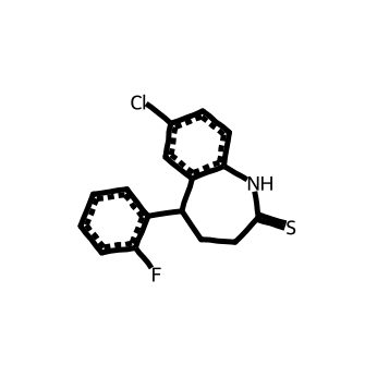 Fc1ccccc1C1CCC(=S)Nc2ccc(Cl)cc21